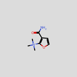 C[N+](C)(C)c1occc1C(N)=O